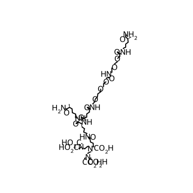 C[C@@H](CCCCNC(=O)COCCOCCNC(=O)COCCOCCCOCCNC(=O)CCCC(=O)N[C@@H](CCCCNC(=O)CC[C@@H](C(=O)O)N(CCN(CC(=O)O)CC(=O)O)CCN(CC(=O)O)CC(=O)O)C(=O)NCCCC[C@H](C)C(N)=O)C(N)=O